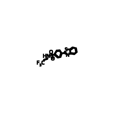 O=S(=O)(NCCC(F)(F)F)c1ccc(-c2nc3ccccc3s2)cc1